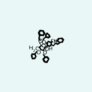 C=C1[C@@H](COCc2ccccc2)OC(O)(c2cc(Cc3cc4ccccc4s3)c(C)cc2OCc2ccccc2)[C@H](OCc2ccccc2)[C@H]1OCc1ccccc1